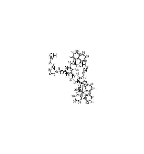 C#CCCN1CCCC1COc1nc2c(c(N3CCN(C(=O)C4C[N@@]4C(c4ccccc4)(c4ccccc4)c4ccccc4)C(CC#N)C3)n1)CCN(c1cccc3cccc(C)c13)C2